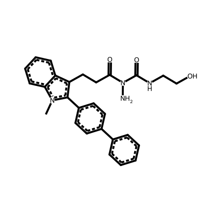 Cn1c(-c2ccc(-c3ccccc3)cc2)c(CCC(=O)N(N)C(=O)NCCO)c2ccccc21